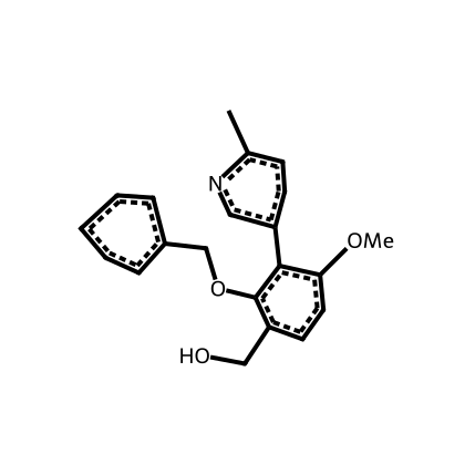 COc1ccc(CO)c(OCc2ccccc2)c1-c1ccc(C)nc1